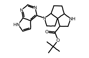 CC(C)(C)OC(=O)C1CNC2CCC3N(c4ncnc5[nH]ccc45)CCC213